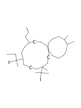 CCCC1CCCC2(CCCCC(C)C(C)CCC2)CCC(C)(C(C)(C)I)CCCC(C(C)(I)CC)CC1